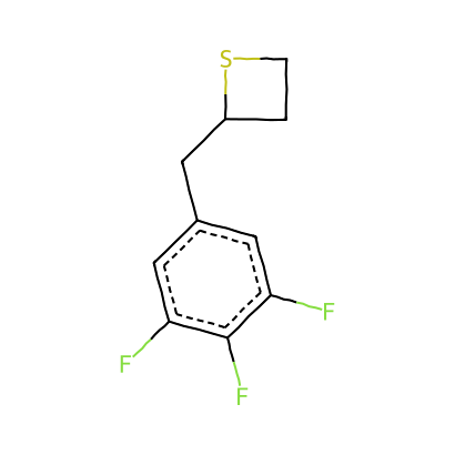 Fc1cc(CC2CCS2)cc(F)c1F